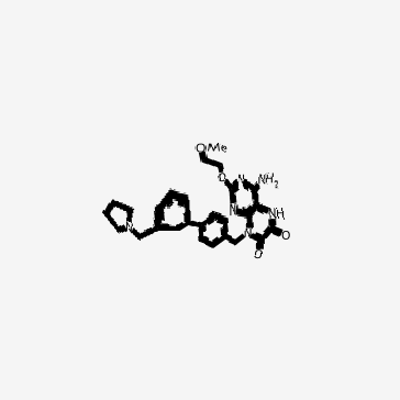 COCCOc1nc(N)c2[nH]c(=O)c(=O)n(Cc3ccc(-c4cccc(CN5CCCC5)c4)cc3)c2n1